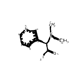 CN(C)C(C(=O)I)c1cccnc1